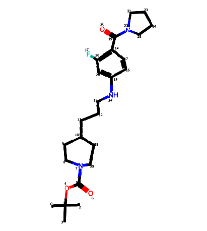 CC(C)(C)OC(=O)N1CCC(CCCNc2ccc(C(=O)N3CCCC3)c(F)c2)CC1